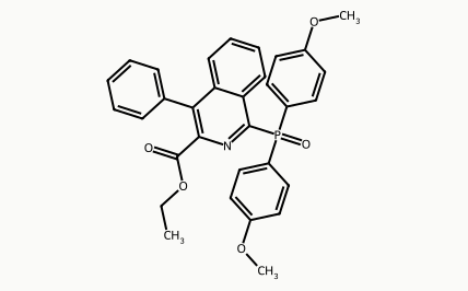 CCOC(=O)c1nc(P(=O)(c2ccc(OC)cc2)c2ccc(OC)cc2)c2ccccc2c1-c1ccccc1